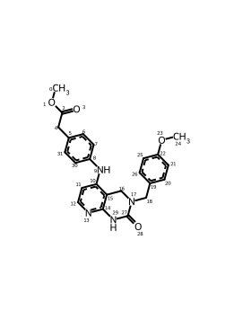 COC(=O)Cc1ccc(Nc2ccnc3c2CN(Cc2ccc(OC)cc2)C(=O)N3)cc1